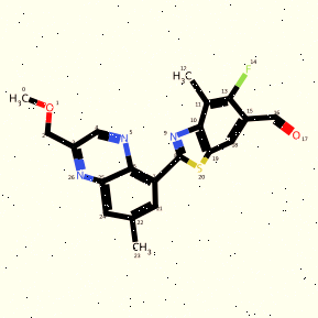 COCc1cnc2c(-c3nc4c(C)c(F)c(C=O)cc4s3)cc(C)cc2n1